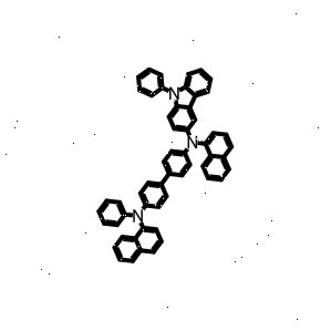 c1ccc(N(c2ccc(-c3ccc(N(c4ccc5c(c4)c4ccccc4n5-c4ccccc4)c4cccc5ccccc45)cc3)cc2)c2cccc3ccccc23)cc1